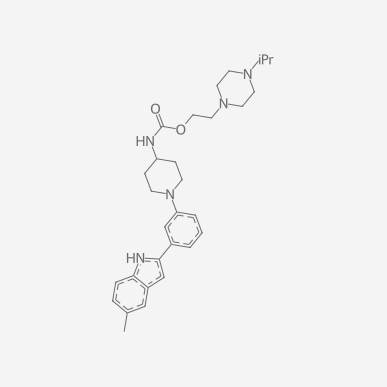 Cc1ccc2[nH]c(-c3cccc(N4CCC(NC(=O)OCCN5CCN(C(C)C)CC5)CC4)c3)cc2c1